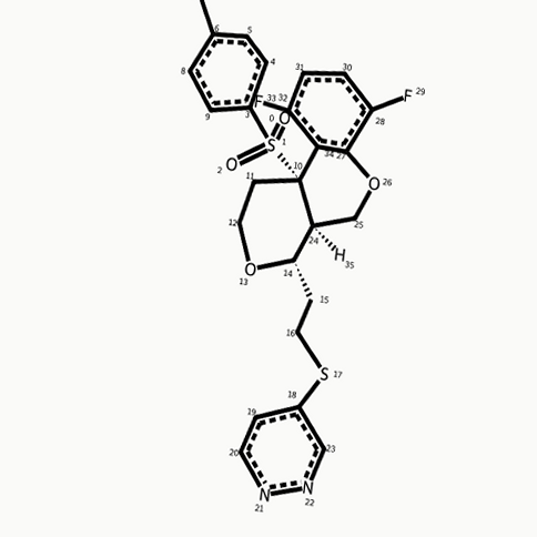 O=S(=O)(c1ccc(Cl)cc1)[C@@]12CCO[C@@H](CCSc3ccnnc3)[C@@H]1COc1c(F)ccc(F)c12